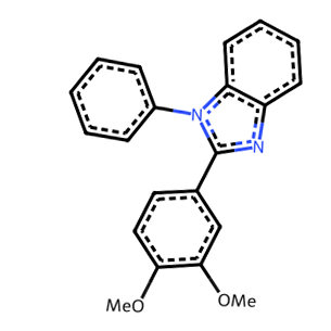 COc1ccc(-c2nc3ccccc3n2-c2ccccc2)cc1OC